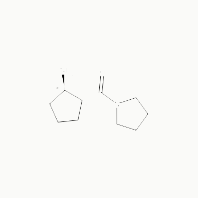 N[C@@H]1CCC[C@H]1C(=O)N1CCCC1